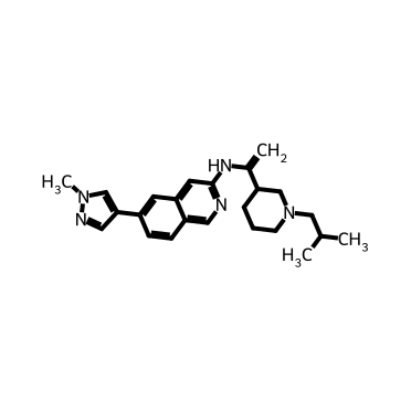 C=C(Nc1cc2cc(-c3cnn(C)c3)ccc2cn1)C1CCCN(CC(C)C)C1